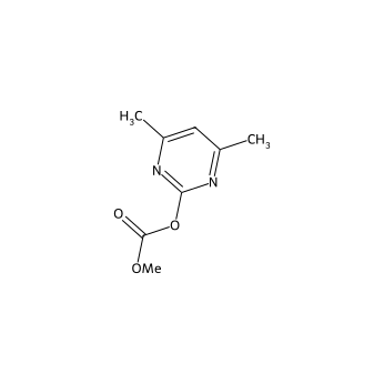 COC(=O)Oc1nc(C)cc(C)n1